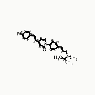 CC(C)N(C)CC=Cc1ccc(-n2ccc(C=Cc3ccc(F)cc3)cc2=O)cc1